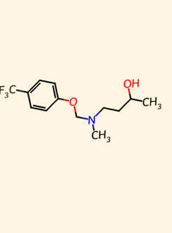 CC(O)CCN(C)COc1ccc(C(F)(F)F)cc1